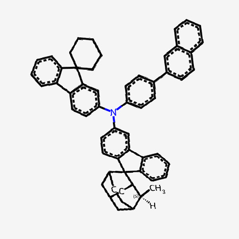 C[C@H]1C2CCC3CC(C2)CC1C31c2ccccc2-c2cc(N(c3ccc(-c4ccc5ccccc5c4)cc3)c3ccc4c(c3)C3(CCCCC3)c3ccccc3-4)ccc21